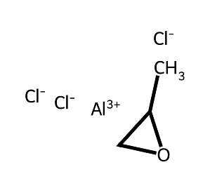 CC1CO1.[Al+3].[Cl-].[Cl-].[Cl-]